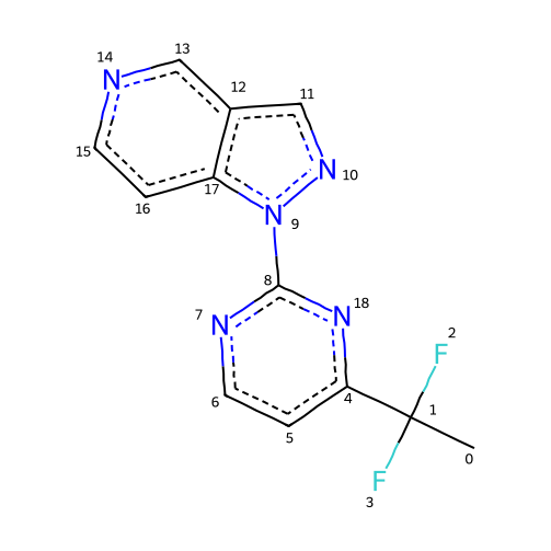 CC(F)(F)c1ccnc(-n2ncc3cnccc32)n1